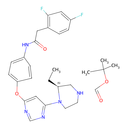 CC(C)(C)OC=O.CC[C@H]1CNCCN1c1cc(Oc2ccc(NC(=O)Cc3ccc(F)cc3F)cc2)ncn1